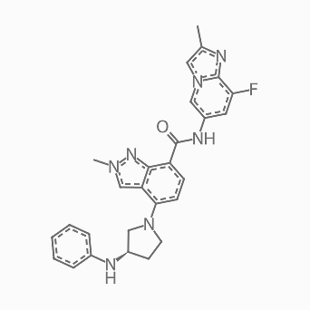 Cc1cn2cc(NC(=O)c3ccc(N4CC[C@@H](Nc5ccccc5)C4)c4cn(C)nc34)cc(F)c2n1